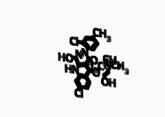 C[N+](C)(C)CCO.Cc1ccc(-n2nc(O)c3[nH]c4cc(Cl)ccc4c(=O)c3c2=O)c(Cl)c1